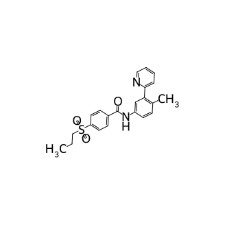 CCCS(=O)(=O)c1ccc(C(=O)Nc2ccc(C)c(-c3ccccn3)c2)cc1